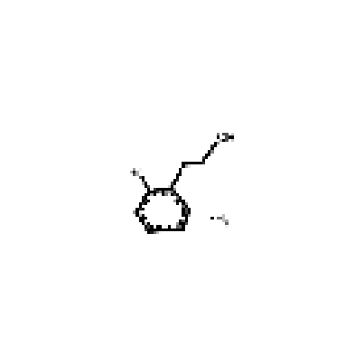 OCCc1ccccc1Br.P